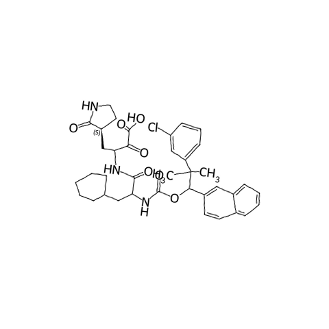 CC(C)(c1cccc(Cl)c1)C(OC(=O)NC(CC1CCCCC1)C(=O)NC(C[C@@H]1CCNC1=O)C(=O)C(=O)O)c1ccc2ccccc2c1